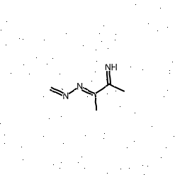 C=N/N=C(\C)C(C)=N